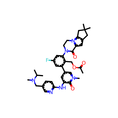 CC(=O)OCc1c(-c2cc(Nc3ccc(CN(C)C(C)C)cn3)c(=O)n(C)c2)cc(F)cc1N1CCn2c(cc3c2CC(C)(C)C3)C1=O